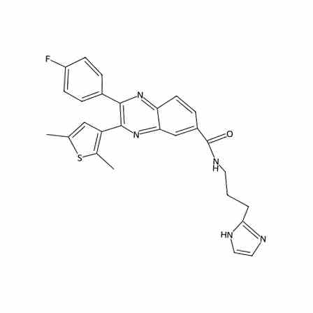 Cc1cc(-c2nc3cc(C(=O)NCCCc4ncc[nH]4)ccc3nc2-c2ccc(F)cc2)c(C)s1